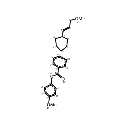 COCC=C[C@H]1CC[C@H](c2ccc(C(=O)Oc3ccc(OC)cc3)cc2)CC1